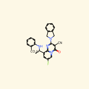 C[C@@H](Nc1ccccc1C(=O)O)c1cc(F)cn2c(=O)c(C#N)c(N3Cc4ccccc4C3)nc12